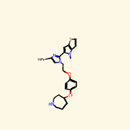 CCCc1cn(CCOc2ccc(OC3CCCNCC3)cc2)c(-c2cc3sccc3n2C)n1